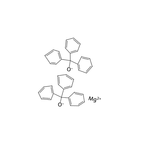 [Mg+2].[O-]C(c1ccccc1)(c1ccccc1)c1ccccc1.[O-]C(c1ccccc1)(c1ccccc1)c1ccccc1